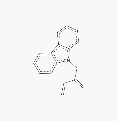 C=CC(=C)Cn1c2ccccc2c2ccccc21